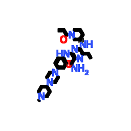 C=CC(=O)N1CCC[C@@H](Nc2nc(Nc3ccc(N4CCN(C5CCN(C)CC5)CC4)cc3)c(C(N)=O)nc2CC)C1